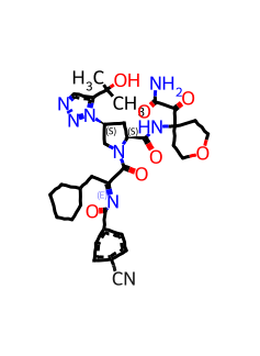 CC(C)(O)c1cnnn1[C@H]1C[C@@H](C(=O)NC2(C(=O)C(N)=O)CCOCC2)N(C(=O)/C(CC2CCCCC2)=N/C(=O)c2ccc(C#N)cc2)C1